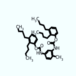 CCCCc1cccc(OC(=O)Nc2ccc(C)c(NC(=O)Oc3cccc(CCCC)c3CCCC)c2)c1CCCC